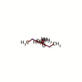 CCCCCCCC/C=C\CCCCCCCC(=O)NCCCCN(CCCNC(=O)CCCCCCC/C=C\CCCCCCCC)C(=O)CN(CCCN)CCCN